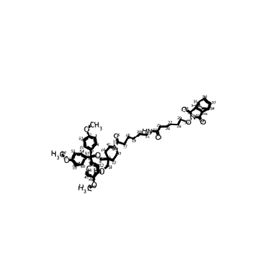 COc1ccc(C(OCC2(CO)CCN(C(=O)CCCCCNC(=O)CCCCCON3C(=O)C4C5C=CC(O5)C4C3=O)CC2)(c2ccc(OC)cc2)c2ccc(OC)cc2)cc1